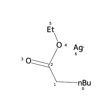 CCCCCC(=O)OCC.[Ag]